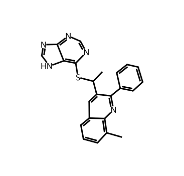 Cc1cccc2cc(C(C)Sc3ncnc4nc[nH]c34)c(-c3ccccc3)nc12